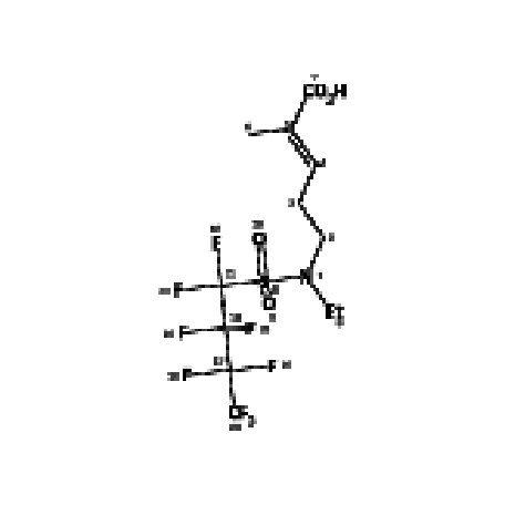 CCN(CCC=C(C)C(=O)O)S(=O)(=O)C(F)(F)C(F)(F)C(F)(F)C(F)(F)F